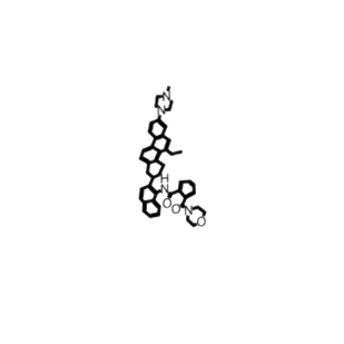 CCc1cc2cc(N3CCN(C)CC3)ccc2c2ccc3c(c12)CCC(c1ccc2ccccc2c1NC(=O)c1ccccc1C(=O)N1CCOCC1)C3